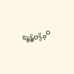 CC(C)CC(C(=O)Nc1ccc(NC(=O)c2cc(-c3ccccc3)cs2)cc1)P(=O)(O)O